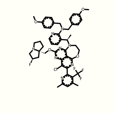 COc1ccc(CN(Cc2ccc(OC)cc2)c2ncccc2[C@@H](C)N2CCOc3nc(-c4nc(C)cc(C)c4C(F)(F)F)c(Cl)c4nc(OC[C@@]56CCCN5C[C@H](F)C6)nc2c34)cc1